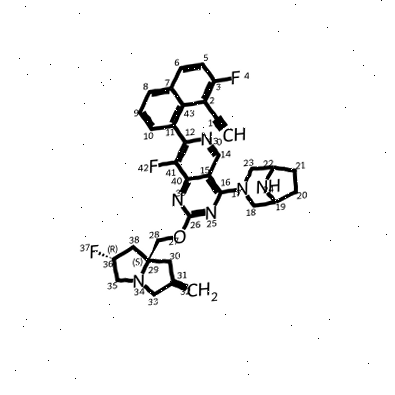 C#Cc1c(F)ccc2cccc(-c3ncc4c(N5CC6CCC(C5)N6)nc(OC[C@@]56CC(=C)CN5C[C@H](F)C6)nc4c3F)c12